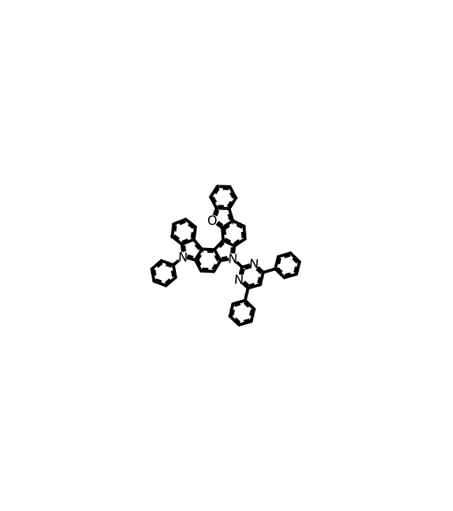 c1ccc(-c2cc(-c3ccccc3)nc(-n3c4ccc5c6ccccc6oc5c4c4c5c6ccccc6n(-c6ccccc6)c5ccc43)n2)cc1